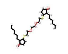 CCCCCCC1C(=O)CCC1SCCOCCOCCSC1CCC(=O)C1CCCCCC